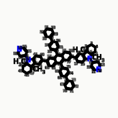 CC12CCCCC1(C)N(c1ccncc1)c1ccc(-c3ccc4c(-c5ccc(-c6ccccc6)cc5)c5cc(-c6ccc7c(c6)[C@@]6(C)CCCCC6(C)N7c6ccncc6)ccc5c(-c5ccc(-c6ccccc6)cc5)c4c3)cc12